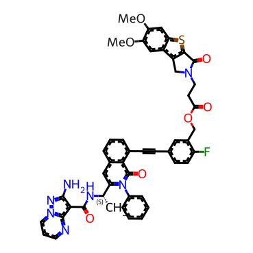 COc1cc2sc3c(c2cc1OC)CN(CCC(=O)OCc1cc(C#Cc2cccc4cc([C@H](C)NC(=O)c5c(N)nn6cccnc56)n(-c5ccccc5)c(=O)c24)ccc1F)C3=O